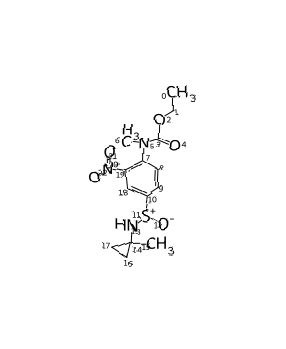 CCOC(=O)N(C)c1ccc([S+]([O-])NC2(C)CC2)cc1[N+](=O)[O-]